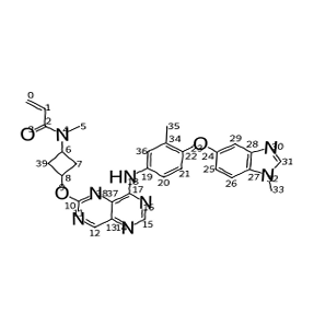 C=CC(=O)N(C)C1CC(Oc2ncc3ncnc(Nc4ccc(Oc5ccc6c(c5)ncn6C)c(C)c4)c3n2)C1